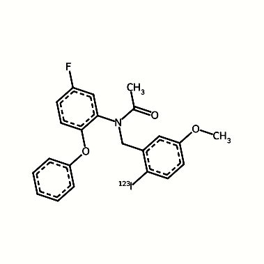 COc1ccc([123I])c(CN(C(C)=O)c2cc(F)ccc2Oc2ccccc2)c1